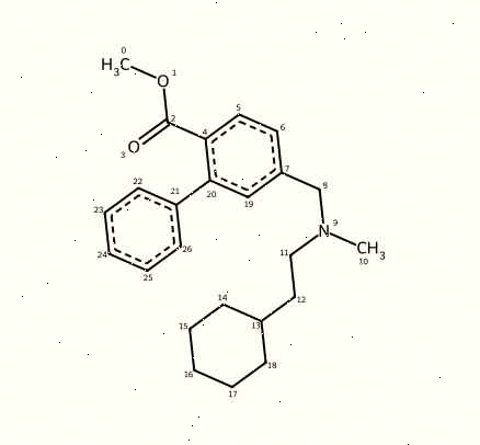 COC(=O)c1ccc(CN(C)CCC2CCCCC2)cc1-c1ccccc1